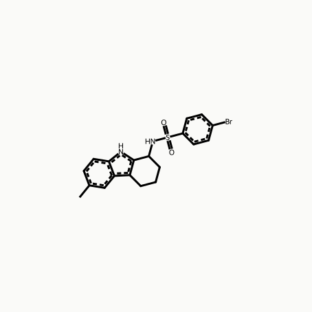 Cc1ccc2[nH]c3c(c2c1)CCCC3NS(=O)(=O)c1ccc(Br)cc1